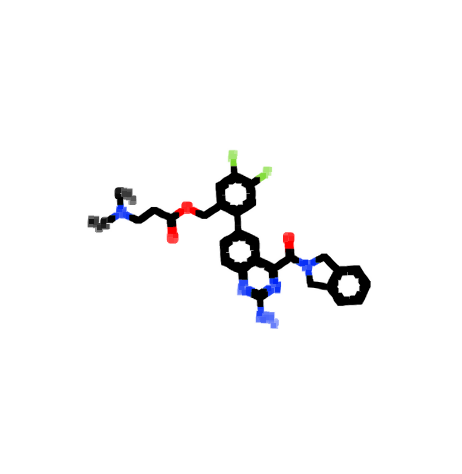 CN(C)CCC(=O)OCc1cc(F)c(F)cc1-c1ccc2nc(N)nc(C(=O)N3Cc4ccccc4C3)c2c1